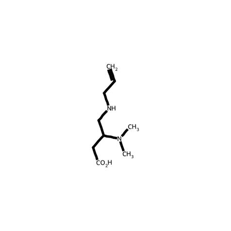 C=CCNCC(CC(=O)O)N(C)C